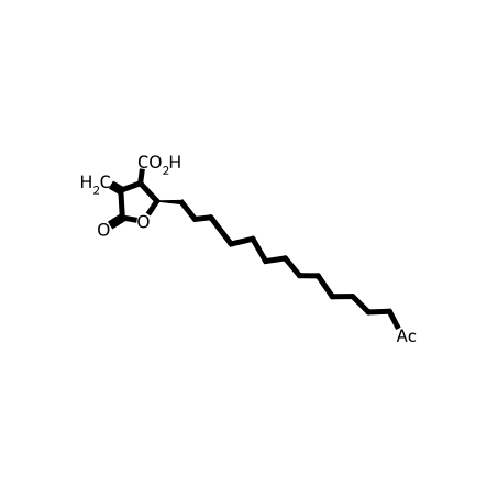 C=C1C(=O)O[C@H](CCCCCCCCCCCCCC(C)=O)C1C(=O)O